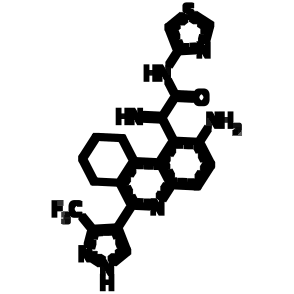 N=C(C(=O)Nc1cscn1)c1c(N)ccc2nc(-c3c[nH]nc3C(F)(F)F)c3c(c12)CCCC3